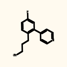 C[C](C)CCCc1ccc(F)cc1-c1ccncc1